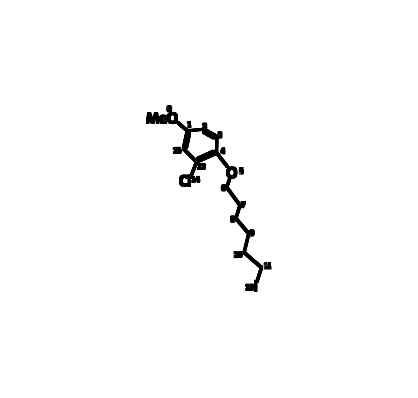 COc1ccc(OCCCCCCI)c(Cl)c1